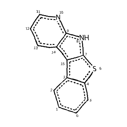 c1ccc2c(c1)sc1[nH]c3ncccc3c12